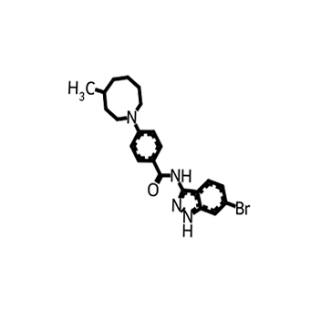 CC1CCCCN(c2ccc(C(=O)Nc3n[nH]c4cc(Br)ccc34)cc2)CC1